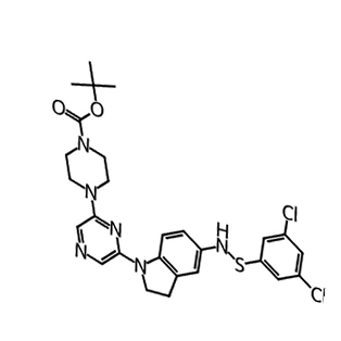 CC(C)(C)OC(=O)N1CCN(c2cncc(N3CCc4cc(NSc5cc(Cl)cc(Cl)c5)ccc43)n2)CC1